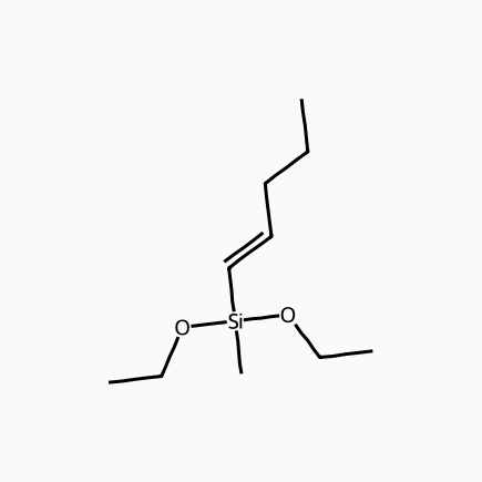 CCC/C=C/[Si](C)(OCC)OCC